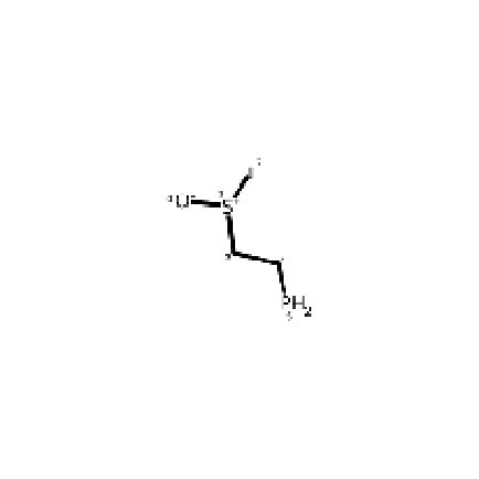 [O-][S+](I)CCP